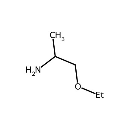 CCOCC(C)N